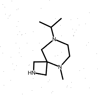 CC(C)N1CCN(C)C2(CNC2)C1